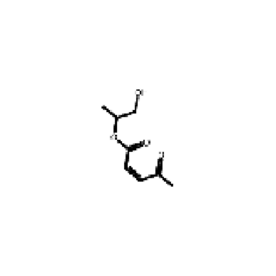 CC(=O)/C=C\C(=O)OC(C)CO